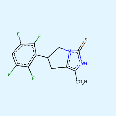 O=C(O)c1[nH]c(=S)n2c1CC(c1c(F)c(F)cc(F)c1F)C2